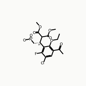 CCOc1c(C(C)=O)cc(Cl)c(F)c1[C@H](C[N+](=O)[O-])C(C(=O)OC)C(=O)OC